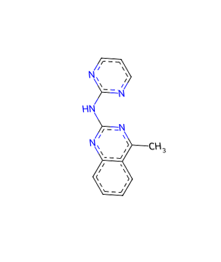 Cc1nc(Nc2ncccn2)nc2ccccc12